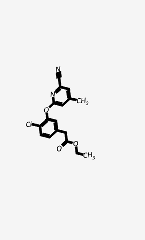 CCOC(=O)Cc1ccc(Cl)c(Oc2cc(C)cc(C#N)n2)c1